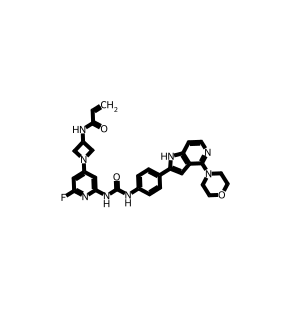 C=CC(=O)NC1CN(c2cc(F)nc(NC(=O)Nc3ccc(-c4cc5c(N6CCOCC6)nccc5[nH]4)cc3)c2)C1